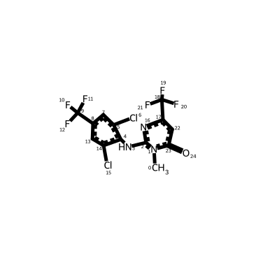 Cn1c(Nc2c(Cl)cc(C(F)(F)F)cc2Cl)nc(C(F)(F)F)cc1=O